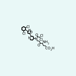 N[C@@H](CCC(=O)O)C(=O)CCN(C(=O)C(Cl)Cl)c1ccnc(-c2cc(-c3c(Cl)cccc3Cl)no2)c1